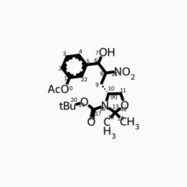 CC(=O)Oc1cccc(C(O)C(C[C@@H]2COC(C)(C)N2C(=O)OC(C)(C)C)[N+](=O)[O-])c1